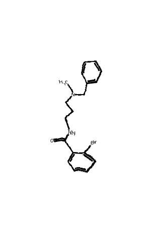 CN(CCCNC(=O)c1ccccc1Br)Cc1ccccc1